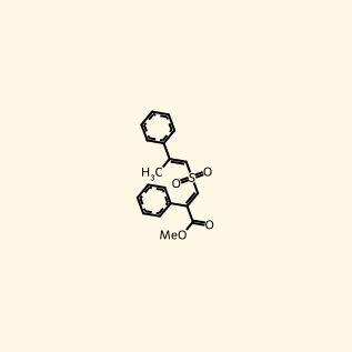 COC(=O)C(=CS(=O)(=O)C=C(C)c1ccccc1)c1ccccc1